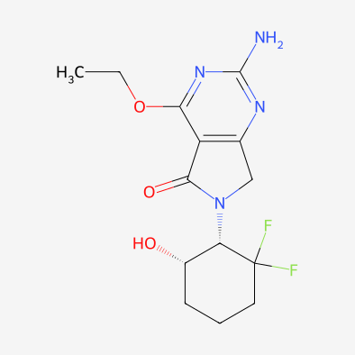 CCOc1nc(N)nc2c1C(=O)N([C@H]1[C@@H](O)CCCC1(F)F)C2